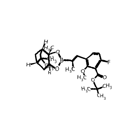 COc1c(C[C@@H](C)B2O[C@@H]3C[C@@H]4C[C@@H](C4(C)C)[C@]3(C)O2)ccc(F)c1C(=O)OC(C)(C)C